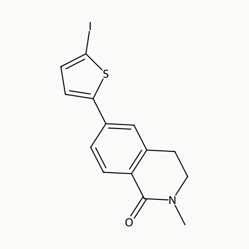 CN1CCc2cc(-c3ccc(I)s3)ccc2C1=O